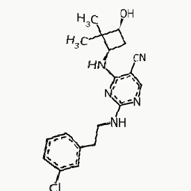 CC1(C)[C@@H](O)C[C@H]1Nc1nc(NCCc2cccc(Cl)c2)ncc1C#N